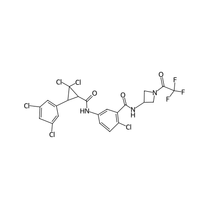 O=C(NC1CN(C(=O)C(F)(F)F)C1)c1cc(NC(=O)C2C(c3cc(Cl)cc(Cl)c3)C2(Cl)Cl)ccc1Cl